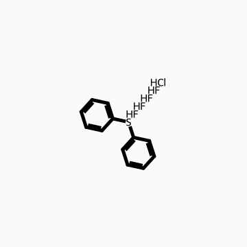 Cl.F.F.F.F.c1ccc(Sc2ccccc2)cc1